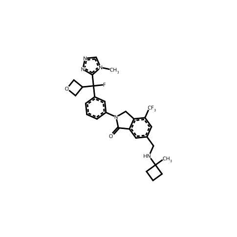 Cn1cnnc1C(F)(c1cccc(N2Cc3c(cc(CNC4(C)CCC4)cc3C(F)(F)F)C2=O)c1)C1COC1